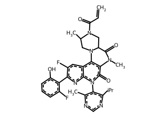 C=CC(=O)N1CC2C(=O)N(C)c3c(c4cc(F)c(-c5c(O)cccc5F)nc4n(-c4c(C)ncnc4C(C)C)c3=O)N2CC1C